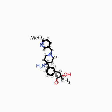 COc1ccc(CN2CCC(N)(c3cccc(CC(C)(O)C[O])c3)CC2)cn1